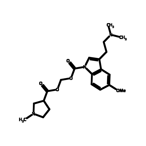 COc1ccc2c(c1)c(CCN(C)C)cn2C(=O)OCOC(=O)C1CCN(C)C1